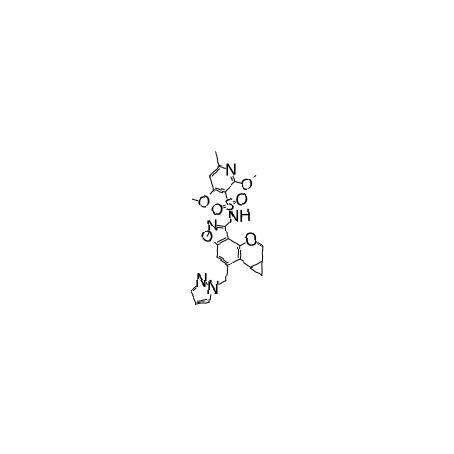 COc1cc(C)nc(OC)c1S(=O)(=O)Nc1noc2cc(Cn3cccn3)c3c(c12)OCC1CC31